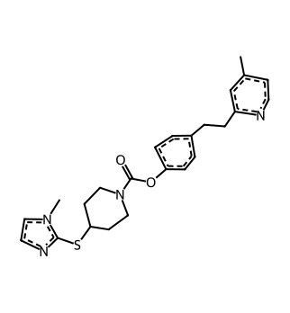 Cc1ccnc(CCc2ccc(OC(=O)N3CCC(Sc4nccn4C)CC3)cc2)c1